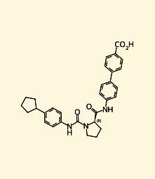 O=C(O)c1ccc(-c2ccc(NC(=O)[C@H]3CCCN3C(=O)Nc3ccc(C4CCCC4)cc3)cc2)cc1